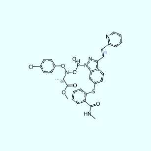 CNC(=O)c1ccccc1Sc1ccc2c(/C=C/c3ccccn3)nn([PH](=O)ON(Oc3ccc(Cl)cc3)[C@@H](C)C(=O)OC)c2c1